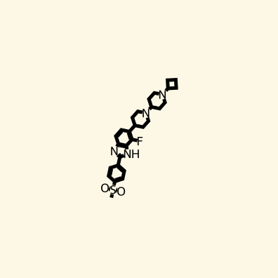 CS(=O)(=O)c1ccc(-c2nc3ccc(C4CCN(C5CCN(C6CCC6)CC5)CC4)c(F)c3[nH]2)cc1